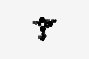 CCOc1ccc2nc(-c3cccc(OCC(=O)NC(C)(C)C)c3)nc(Nc3cccc(C(N)=O)c3)c2c1